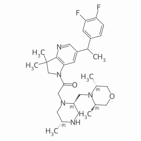 CC(c1ccc(F)c(F)c1)c1cnc2c(c1)N(C(=O)CN1C[C@@H](C)NC[C@@H]1CN1[C@H](C)COC[C@H]1C)CC2(C)C